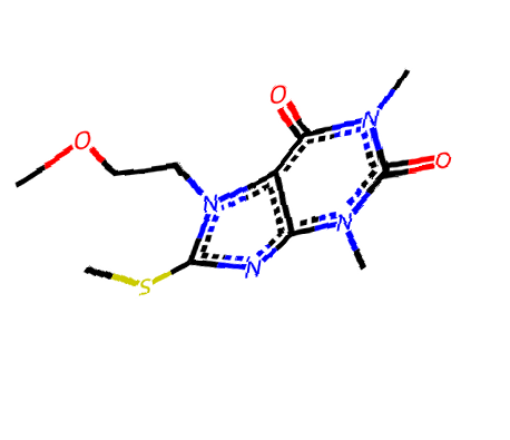 COCCn1c(SC)nc2c1c(=O)n(C)c(=O)n2C